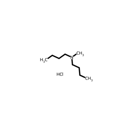 CCCCN(C)CCCC.Cl